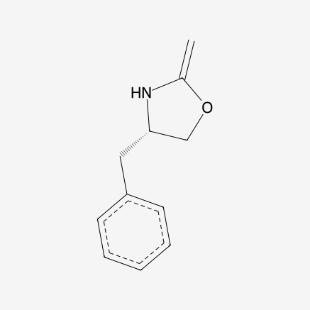 C=C1N[C@@H](Cc2ccccc2)CO1